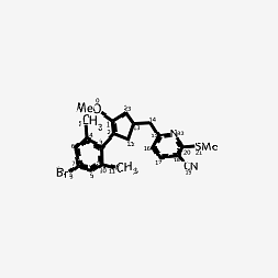 COC1=C(c2c(C)cc(Br)cc2C)CC(Cc2ccc(C#N)c(SC)n2)C1